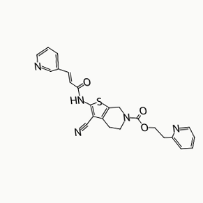 N#Cc1c(NC(=O)/C=C/c2cccnc2)sc2c1CCN(C(=O)OCCc1ccccn1)C2